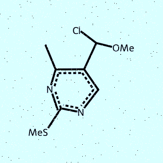 COC(Cl)c1cnc(SC)nc1C